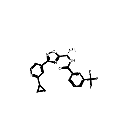 C[C@H](NC(=O)c1cccc(C(F)(F)F)c1)c1nc(-c2ccnc(C3CC3)c2)no1